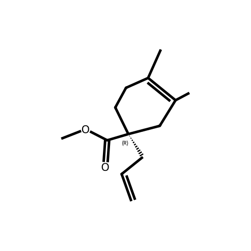 C=CC[C@]1(C(=O)OC)CCC(C)=C(C)C1